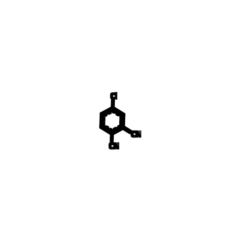 N#Cc1ccc(Cl)cc1C#N